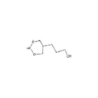 OCCCC1COPOC1